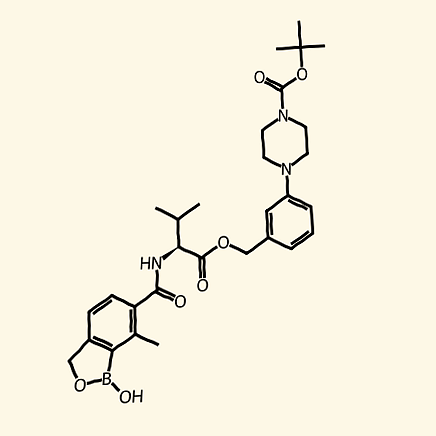 Cc1c(C(=O)N[C@H](C(=O)OCc2cccc(N3CCN(C(=O)OC(C)(C)C)CC3)c2)C(C)C)ccc2c1B(O)OC2